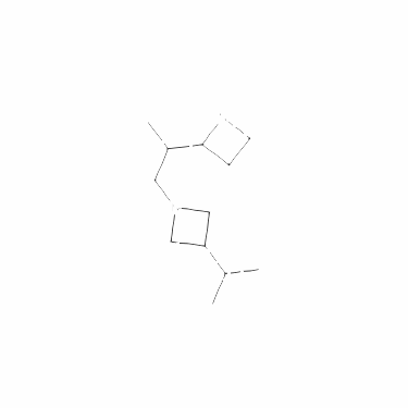 CC(C)C1CN(CC(C)C2CCN2)C1